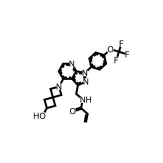 C=CC(=O)NCc1nn(-c2ccc(OC(F)(F)F)cc2)c2nccc(N3CC4(CC(O)C4)C3)c12